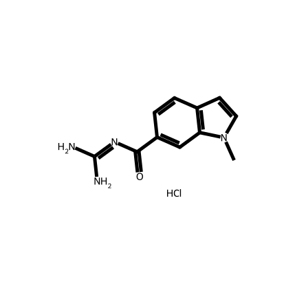 Cl.Cn1ccc2ccc(C(=O)N=C(N)N)cc21